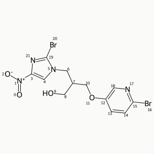 O=[N+]([O-])c1cn(CC(CO)COc2ccc(Br)nc2)c(Br)n1